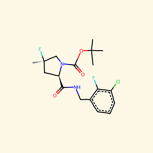 CC(C)(C)OC(=O)N1C[C@](C)(F)C[C@@H]1C(=O)NCc1cccc(Cl)c1F